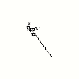 CCCCCCCCCCCCCCCCCCCc1ccnc(-c2cc(CBr)cc(-c3cc(CBr)ccn3)n2)c1